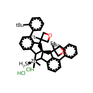 CCC1(CC2=Cc3c(-c4ccccc4C(C)(C)C)cccc3[CH]2[Zr]([CH3])([CH3])(=[SiH2])[CH]2C(CC3(CC)COC3)=Cc3c(-c4ccccc4C(C)(C)C)cccc32)COC1.Cl.Cl